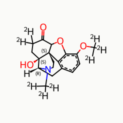 [2H]C([2H])([2H])Oc1ccc2c3c1OC1C(=O)C([2H])([2H])C[C@@]4(O)[C@@H](C2)N(C([2H])([2H])[2H])CC[C@]314